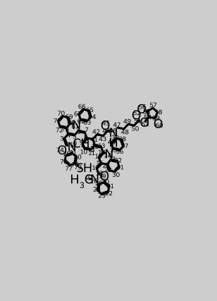 CN1/C(=C\C2=CC(=C\C3=CC=C/C(=C\C4=CC(=C/c5oc6ccccc6[n+]5C)/c5ccccc5N4c4ccccc4)C3CCC(=O)NCCCCC(=O)OC3C(=O)CCC3=O)/N(c3ccccc3)c3ccccc32)Oc2ccc(S)cc21